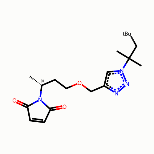 C[C@H](CCOCc1cn(C(C)(C)CC(C)(C)C)nn1)N1C(=O)C=CC1=O